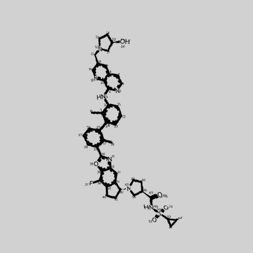 Cc1c(Nc2nccc3cc(CN4CC[C@@H](O)C4)cnc23)cccc1-c1cccc(-c2nc3cc4c(c(F)c3o2)CC[C@H]4N2CC[C@@H](C(=O)NS(=O)(=O)C3CC3)C2)c1C